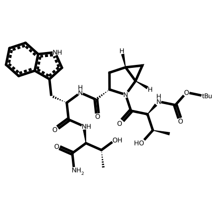 C[C@@H](O)[C@H](NC(=O)[C@H](Cc1c[nH]c2ccccc12)NC(=O)[C@@H]1C[C@@H]2C[C@@H]2N1C(=O)[C@@H](NC(=O)OC(C)(C)C)[C@@H](C)O)C(N)=O